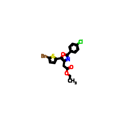 CCOC(=O)Cc1nc(-c2ccc(Cl)cc2)oc1-c1ccc(Br)s1